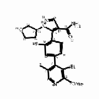 CCc1c(OC)ncc(C)c1-c1ccc(-c2c(C(N)=O)cnn2[C@H]2CCOC2)c(F)c1